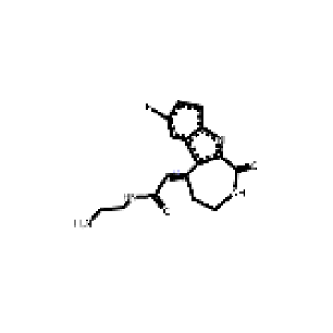 NCCNC(=O)/C=C1\CCNC(=O)c2[nH]c3ccc(F)cc3c21